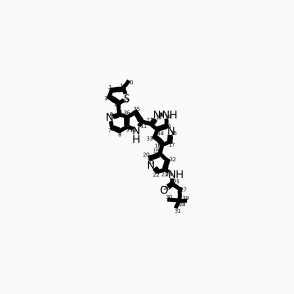 Cc1ccc(-c2nccc3[nH]c(-c4n[nH]c5ncc(-c6cncc(NC(=O)CC(C)(C)C)c6)cc45)cc23)s1